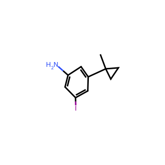 CC1(c2cc(N)cc(I)c2)CC1